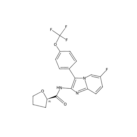 O=C(Nc1nc2ccc(F)cn2c1-c1ccc(OC(F)(F)F)cc1)[C@H]1CCCO1